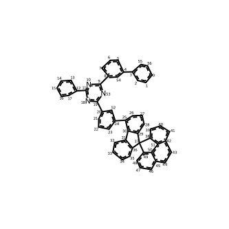 c1ccc(-c2cccc(-c3nc(-c4ccccc4)nc(-c4cccc(-c5cccc6c5-c5ccccc5C65c6cccc7ccc8cccc5c8c67)c4)n3)c2)cc1